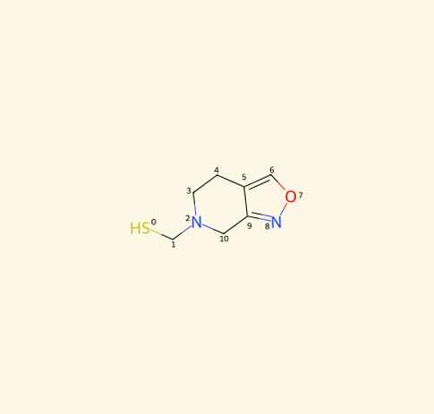 SCN1CCc2conc2C1